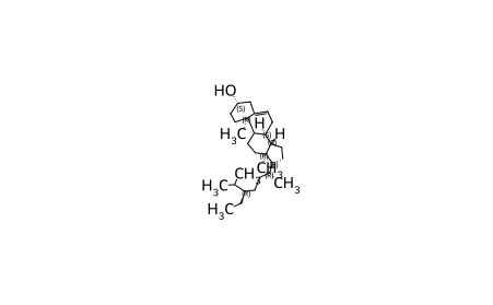 CC[C@H](CC[C@@H](C)[C@H]1CC[C@H]2[C@@H]3CC=C4C[C@@H](O)CC[C@]4(C)C3CC[C@]12C)C(C)C